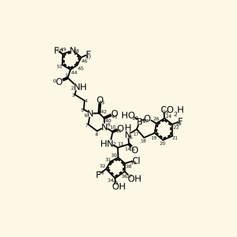 O=C(NCCCN1CCN(C(=O)NC(C(=O)NC2Cc3ccc(F)c(C(=O)O)c3OB2O)c2cc(F)c(O)c(O)c2Cl)C(=O)C1=O)c1cc(F)nc(F)c1